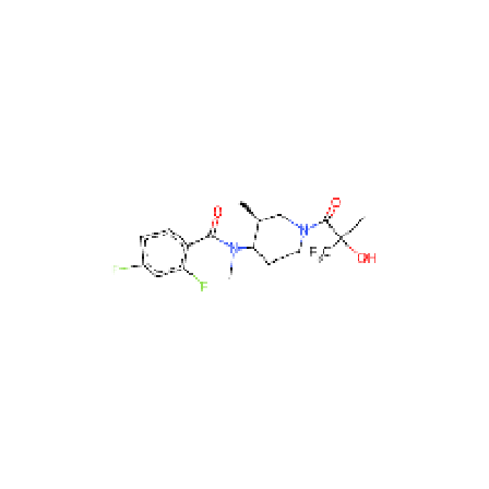 C[C@H]1CN(C(=O)C(C)(O)C(F)(F)F)CC[C@H]1N(C)C(=O)c1ccc(F)cc1F